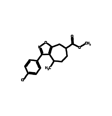 COC(=O)C1CCC(C)c2c(-c3ccc(Cl)cc3)noc2C1